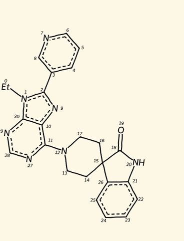 CCn1c(-c2cccnc2)nc2c(N3CCC4(CC3)C(=O)Nc3ccccc34)ncnc21